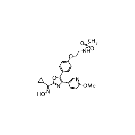 COc1ccc(-c2nc(C(=NO)C3CC3)oc2-c2ccc(OCCNS(C)(=O)=O)cc2)cn1